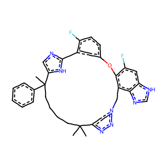 CC1(C)CCCCC(C)(c2ccccc2)c2cnc([nH]2)-c2cc(ccc2F)Oc2c(F)cc3[nH]cnc3c2Cn2cc1nn2